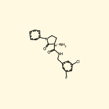 N[C@@]1(C(=O)NCc2cc(F)cc(Cl)c2)CCN(c2ccccc2)C1=O